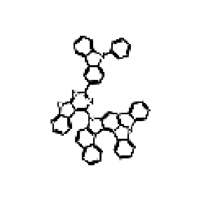 c1ccc(-n2c3ccccc3c3cc(-c4nc(-n5c6ccc7ccccc7c6c6c7c8ccccc8n8c9ccccc9c(cc65)c78)c5c(n4)oc4ccccc45)ccc32)cc1